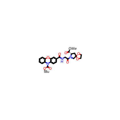 COC(=O)[C@@H]1CC2(CN1C(=O)CNC(=O)c1ccc3c(c1)Oc1ccccc1N3C(=O)OC(C)(C)C)OCCO2